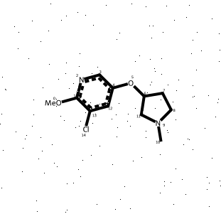 COc1ncc(OC2CCN(C)C2)cc1Cl